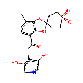 Cc1ccc(C(=O)Cc2c(O)cncc2O)c2c1OC1(CCS(=O)(=O)CC1)O2